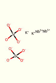 [K+].[K+].[Nb+5].[Nb+5].[O-][Si]([O-])([O-])[O-].[O-][Si]([O-])([O-])[O-]